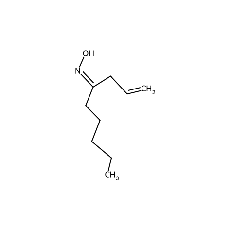 C=CC/C(CCCCC)=N\O